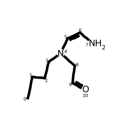 CCCCN(/C=C\N)CC=O